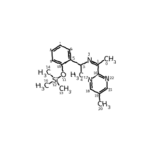 CC(=NC(C)c1ccccc1O[Si](C)(C)C)c1ncc(C)cn1